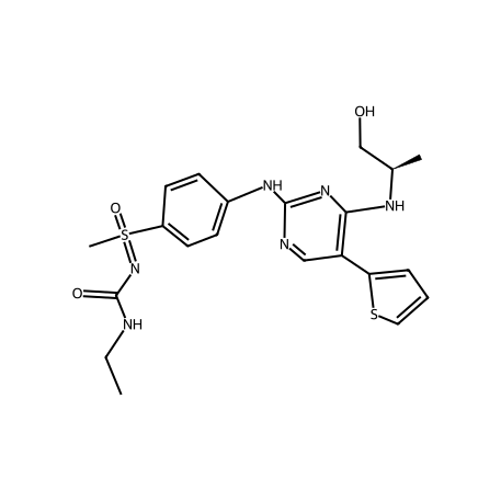 CCNC(=O)N=S(C)(=O)c1ccc(Nc2ncc(-c3cccs3)c(N[C@H](C)CO)n2)cc1